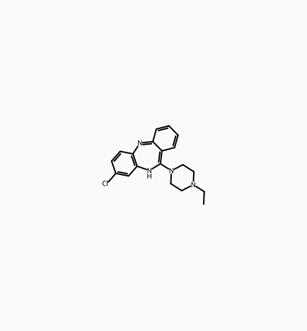 CCN1CCN(C2=c3ccccc3=Nc3ccc(Cl)cc3N2)CC1